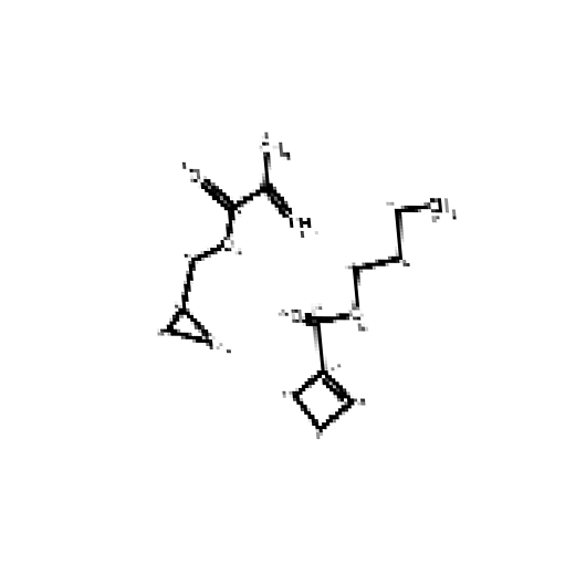 C=C(C)C(=O)OCC1CO1.CCCCOC(=O)C1=CCC1